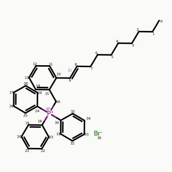 CCCCCCCC/C=C/c1ccccc1C[P+](c1ccccc1)(c1ccccc1)c1ccccc1.[Br-]